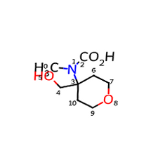 CN(C(=O)O)C1(CO)CCOCC1